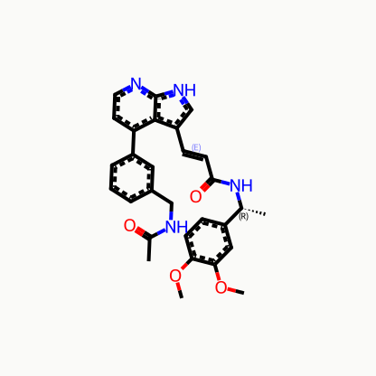 COc1ccc([C@@H](C)NC(=O)/C=C/c2c[nH]c3nccc(-c4cccc(CNC(C)=O)c4)c23)cc1OC